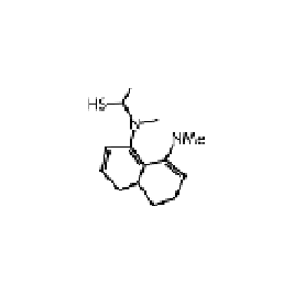 CNC1=CCCC2CC=CC(N(C)C(C)S)=C12